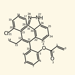 C=CC(=O)Oc1ccccc1/C(=C(\CC)c1ccccc1Cl)c1cccc2[nH]ncc12